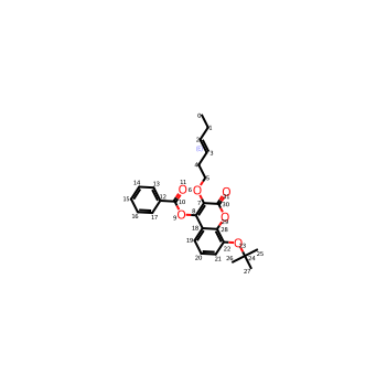 CC/C=C/CCOc1c(OC(=O)c2ccccc2)c2cccc(OC(C)(C)C)c2oc1=O